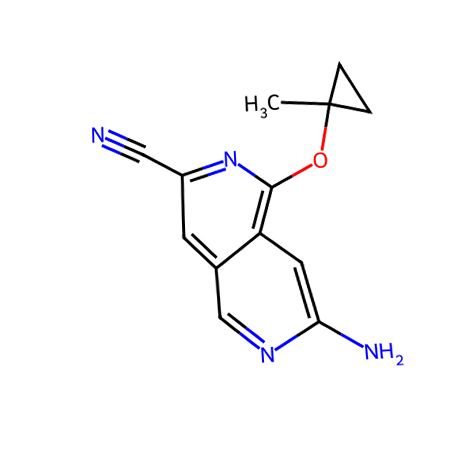 CC1(Oc2nc(C#N)cc3cnc(N)cc23)CC1